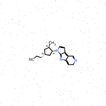 C[C@@H]1C[C@@H](CCC#N)C[C@@H]1n1ccc2c1=NC1=CCN=CC=21